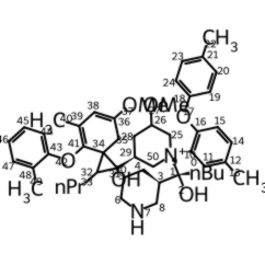 CCCC[C@@](O)([C@@H]1CCCNC1)[N@+]1(c2cc(C)ccc2Oc2ccc(C)cc2)CC(OC)C[C@H](C2(O)C(CCC)C23CC(OC)=CC(C)=C3Oc2ccccc2C)C1